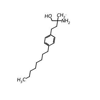 [CH2]C(N)(CO)CCc1ccc(CCCCCCCC)cc1